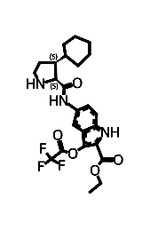 CCOC(=O)c1[nH]c2ccc(NC(=O)[C@H]3NCC[C@H]3C3CCCCC3)cc2c1OC(=O)C(F)(F)F